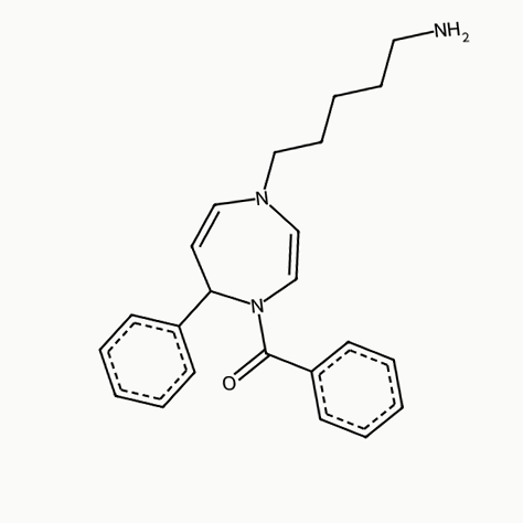 NCCCCCN1C=CC(c2ccccc2)N(C(=O)c2ccccc2)C=C1